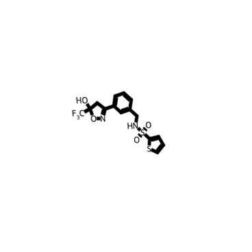 O=S(=O)(NCc1cccc(C2=NOC(O)(C(F)(F)F)C2)c1)c1cccs1